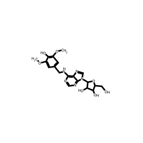 COc1cc(CNc2ncnc3c2ncn3C2OC(CO)C(O)C2O)cc(OC)c1O